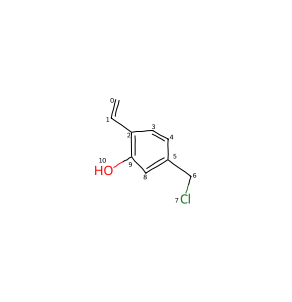 C=Cc1ccc(CCl)cc1O